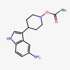 CC(C)(C)C(=O)ON1CCC(c2c[nH]c3ccc(N)cc23)CC1